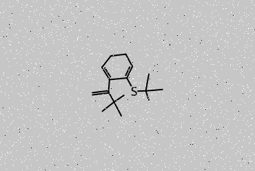 C=C(C1=CCCC=C1SC(C)(C)C)C(C)(C)C